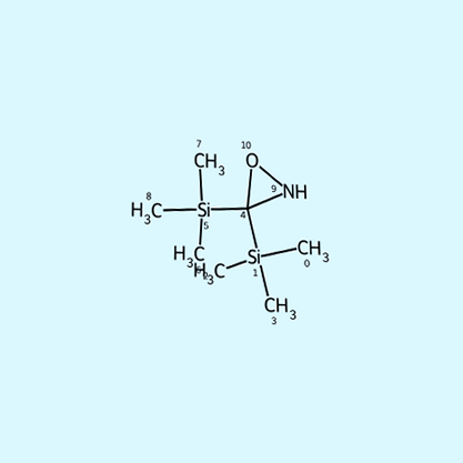 C[Si](C)(C)C1([Si](C)(C)C)NO1